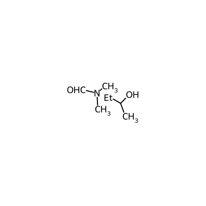 CCC(C)O.CN(C)C=O